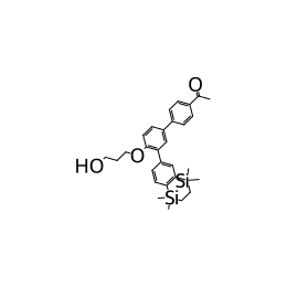 CC(=O)c1ccc(-c2ccc(OCCCO)c(-c3ccc4c(c3)[Si](C)(C)CC[Si]4(C)C)c2)cc1